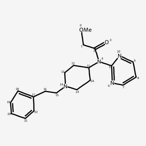 COCC(=O)N(c1ncccn1)C1CCN(CCc2ccccc2)CC1